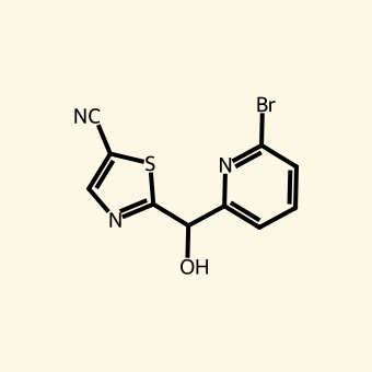 N#Cc1cnc(C(O)c2cccc(Br)n2)s1